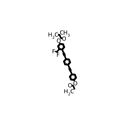 C=CC(=O)Oc1ccc(C#Cc2ccc(C#Cc3ccc(OC(=O)C(=C)C)cc3C(F)F)cc2)cc1